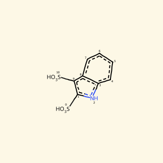 O=S(=O)(O)c1[nH]c2ccccc2c1S(=O)(=O)O